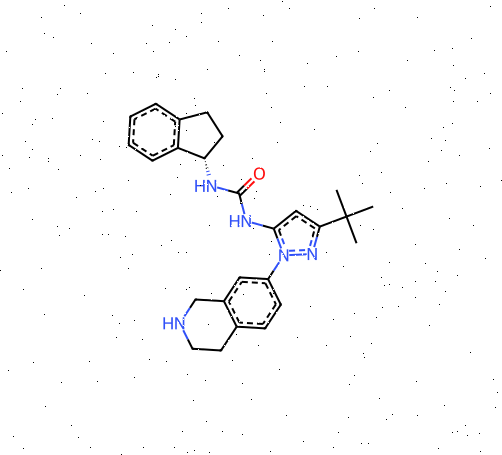 CC(C)(C)c1cc(NC(=O)N[C@H]2CCc3ccccc32)n(-c2ccc3c(c2)CNCC3)n1